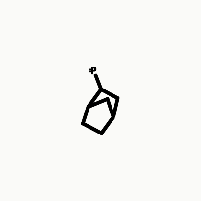 [P]C1CC2CCC1C2